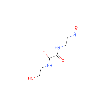 O=NCCNC(=O)C(=O)NCCO